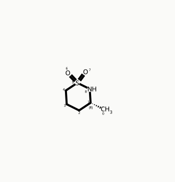 C[C@@H]1CCCS(=O)(=O)N1